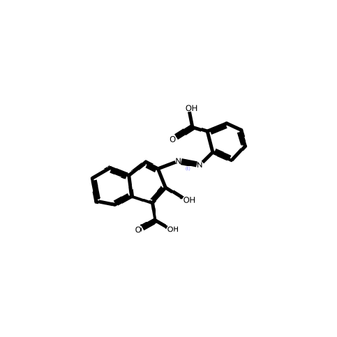 O=C(O)c1ccccc1/N=N/c1cc2ccccc2c(C(=O)O)c1O